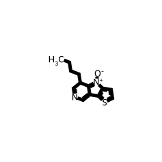 CCCCC1C=NC=C2C1=[N+]([O-])c1ccsc12